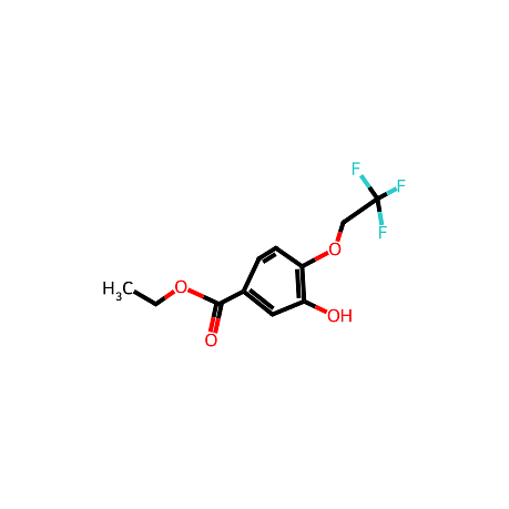 CCOC(=O)c1ccc(OCC(F)(F)F)c(O)c1